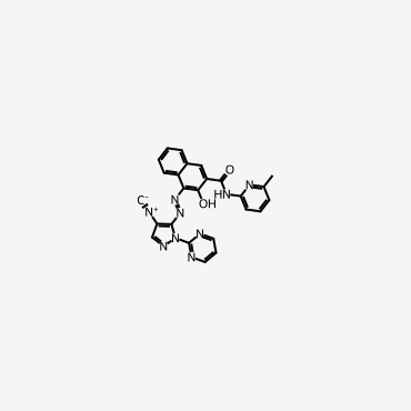 [C-]#[N+]c1cnn(-c2ncccn2)c1/N=N/c1c(O)c(C(=O)Nc2cccc(C)n2)cc2ccccc12